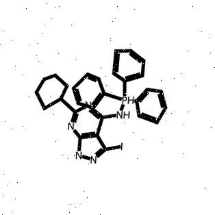 IC1=N[N]c2nc(C3CCCCC3)nc(N[PH](c3ccccc3)(c3ccccc3)c3ccccc3)c21